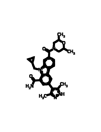 Cc1n[nH]c(C)c1-c1cc(C(N)=O)c2c(c1)c1ccc(C(=O)N3CC(C)OC(C)C3)cc1n2CC1CC1